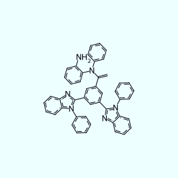 C=C(c1cc(-c2nc3ccccc3n2-c2ccccc2)cc(-c2nc3ccccc3n2-c2ccccc2)c1)N(c1ccccc1)c1ccccc1N